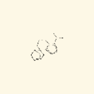 CC(C)c1cccc2c1CCCC21CC2=CCC1C2